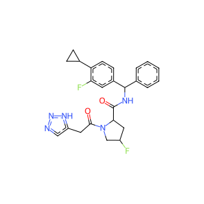 O=C(NC(c1ccccc1)c1ccc(C2CC2)c(F)c1)C1CC(F)CN1C(=O)Cc1cnn[nH]1